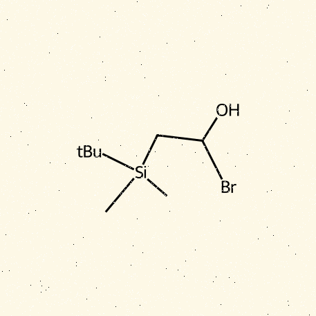 CC(C)(C)[Si](C)(C)CC(O)Br